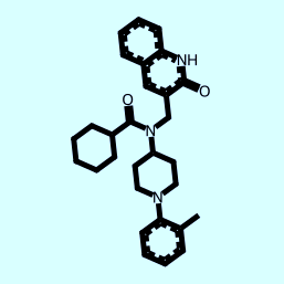 Cc1ccccc1N1CCC(N(Cc2cc3ccccc3[nH]c2=O)C(=O)C2CCCCC2)CC1